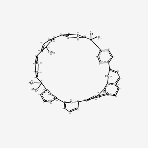 CCC1(C)c2ccc(cc2)C2=CC=c3ccc4c(c3N2)NC=C(C=4)C2C=CC=C(C2)c2cccc(c2)C(C)(OC)C2=CC=C(CC2)C2=CC=C(CC2OC)C2=CCC1CC2